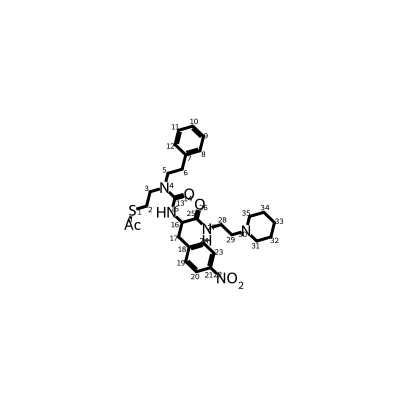 CC(=O)SCCN(CCc1ccccc1)C(=O)NC(Cc1ccc([N+](=O)[O-])cc1)C(=O)NCCN1CCCCC1